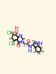 O=C(Cn1cnc2c(O)c(Cl)cc(Cl)c2c1=O)Nc1c[nH]c2ccccc12